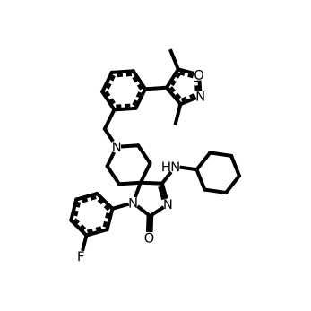 Cc1noc(C)c1-c1cccc(CN2CCC3(CC2)C(NC2CCCCC2)=NC(=O)N3c2cccc(F)c2)c1